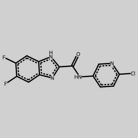 O=C(Nc1ccc(Cl)nc1)c1nc2cc(F)c(F)cc2[nH]1